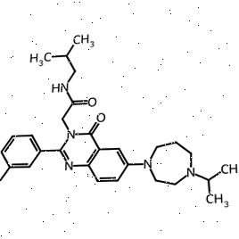 CC(C)CNC(=O)Cn1c(-c2cccc(Cl)c2)nc2ccc(N3CCCN(C(C)C)CC3)cc2c1=O